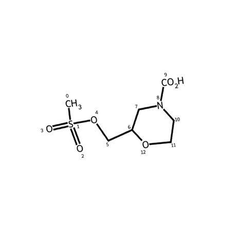 CS(=O)(=O)OCC1CN(C(=O)O)CCO1